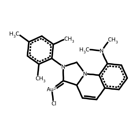 Cc1cc(C)c(N2CN3c4c(cccc4N(C)C)C=CC3[C]2=[Au-2][Cl])c(C)c1